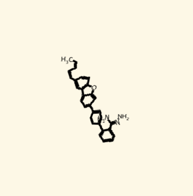 C/C=C\C=C/c1ccc2oc3cc(-c4ccc(-c5ccccc5/C(N)=N/N)cc4)ccc3c2c1